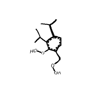 CC(C)c1ccc(COO)c(OO)c1C(C)C